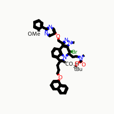 COc1ccccc1-c1ncc(OCc2nn(C)c(CBr)c2-c2cccc3c(CCCOc4cccc5ccccc45)c(C(=O)O)n(CCCN(C)C(=O)OC(C)(C)C)c23)cn1